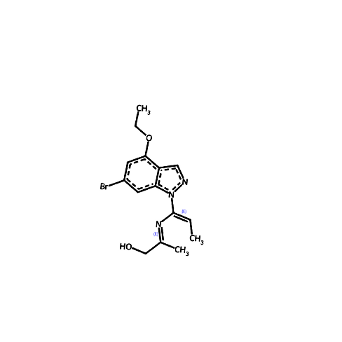 C/C=C(\N=C(/C)CO)n1ncc2c(OCC)cc(Br)cc21